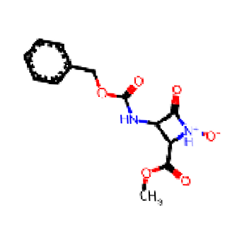 COC(=O)C1C(NC(=O)OCc2ccccc2)C(=O)[NH+]1[O-]